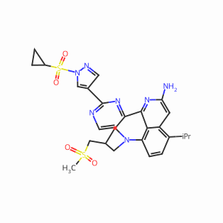 CC(C)c1ccc(N2CC(CS(C)(=O)=O)C2)c2c(-c3ccnc(-c4cnn(S(=O)(=O)C5CC5)c4)n3)nc(N)cc12